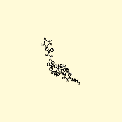 C[C@@]1(Cl)[C@@H]2O[P@](=O)(OCCCC(=O)OC3CCCC3)OC[C@H]2O[C@H]1n1ccc(N)nc1=O